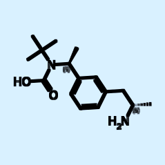 C[C@H](N)Cc1cccc([C@H](C)N(C(=O)O)C(C)(C)C)c1